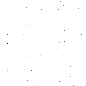 CC1=CC(=O)CC(C)(C)C1.N.N.NCC1CCC(CN)CC1